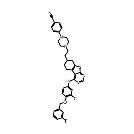 N#Cc1ccc(N2CCN(CCC3CCc4c(sc5ncnc(Nc6ccc(OCc7cccc(F)c7)c(Cl)c6)c45)C3)CC2)cc1